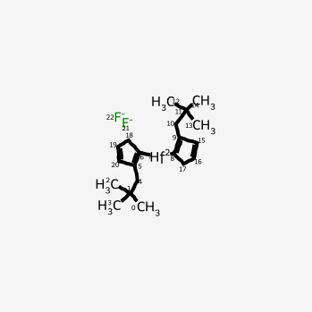 CC(C)(C)CC1=[C]([Hf+2][C]2=C(CC(C)(C)C)C=CC2)CC=C1.[F-].[F-]